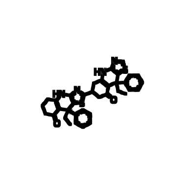 CCC1(c2ccccc2)C2=C(CC(c3nc4c(s3)[C@](CC)(c3ccccc3)C3=C(CCCC3=O)N4)CC2=O)Nc2ncsc21